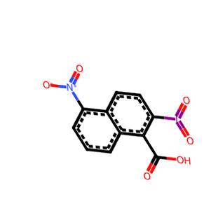 O=C(O)c1c(I(=O)=O)ccc2c([N+](=O)[O-])cccc12